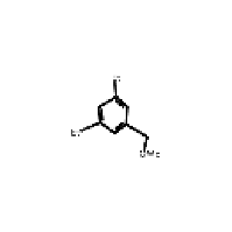 CCc1cc(CC)cc(COC)c1